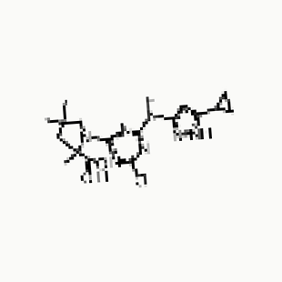 CC1(C)CN(c2nc(Cl)nc(Nc3cc(C4CC4)[nH]n3)n2)C(C)(C(=O)O)C1